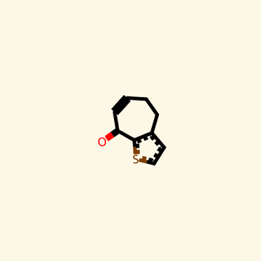 O=C1C#CCCc2ccsc21